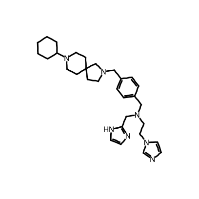 c1cn(CCN(Cc2ccc(CN3CCC4(CCN(C5CCCCC5)CC4)C3)cc2)Cc2ncc[nH]2)cn1